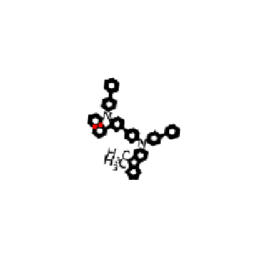 CC1(C)c2ccccc2-c2ccc(N(c3ccc(-c4ccccc4)cc3)c3ccc(-c4ccc(N(c5ccccc5)c5ccc(-c6ccccc6)cc5)c(-c5ccccc5)c4)cc3)cc21